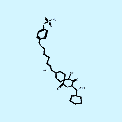 CCCCN1C(=O)[C@@H]([C@H](O)C2CCCCC2)NC(=O)C12CCN(CCCCCCOc1ccc(NS(C)(=O)=O)cc1)CC2.Cl